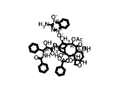 CC(=O)O[C@H]1C(=O)[C@@]2(C)[C@H]([C@H](OC(=O)c3ccccc3)[C@]3(O)C[C@H](OC(=O)[C@H](O)[C@@H](NC(=O)c4ccccc4)c4ccccc4)C(C)=C1C3(C)C)[C@]1(OC(C)=O)CO[C@@H]1C[C@@H]2O.Nc1n[n+]([O-])c2ccccc2[n+]1[O-]